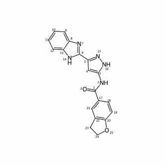 O=C(Nc1cc(-c2nc3ccccc3[nH]2)n[nH]1)c1ccc2c(c1)CCO2